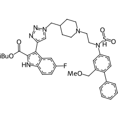 COCc1cc(N(CCN2CCC(Cn3cc(-c4c(C(=O)OCC(C)C)[nH]c5ccc(F)cc45)nn3)CC2)[SH](=O)=O)ccc1-c1ccccc1